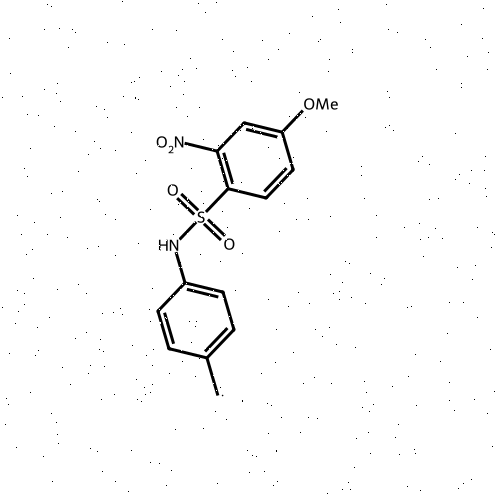 [CH2]c1ccc(NS(=O)(=O)c2ccc(OC)cc2[N+](=O)[O-])cc1